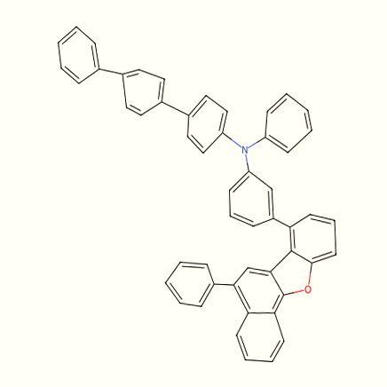 c1ccc(-c2ccc(-c3ccc(N(c4ccccc4)c4cccc(-c5cccc6oc7c8ccccc8c(-c8ccccc8)cc7c56)c4)cc3)cc2)cc1